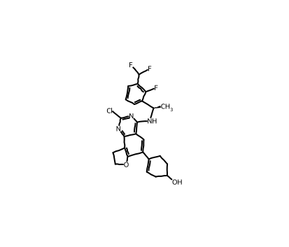 C[C@@H](Nc1nc(Cl)nc2c3c(c(C4=CCC(O)CC4)cc12)OCC3)c1cccc(C(F)F)c1F